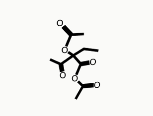 CCC(OC(C)=O)(C(C)=O)C(=O)OC(C)=O